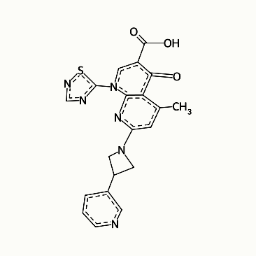 Cc1cc(N2CC(c3cccnc3)C2)nc2c1c(=O)c(C(=O)O)cn2-c1ncns1